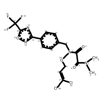 CN(C)C(=O)C(=O)N(Cc1ccc(-c2noc(C(F)(F)F)n2)cc1)OCC=C(Cl)Cl